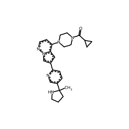 CC1(c2ccc(-c3cc4c(N5CCN(C(=O)C6CC6)CC5)ccnn4c3)nc2)CCCN1